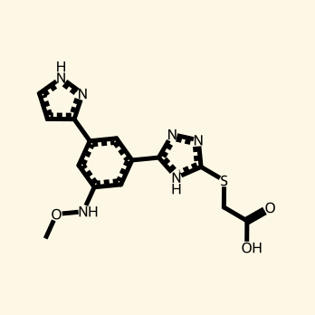 CONc1cc(-c2cc[nH]n2)cc(-c2nnc(SCC(=O)O)[nH]2)c1